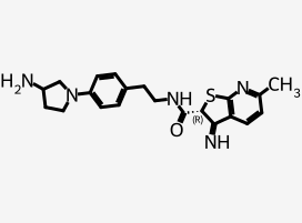 Cc1ccc2c(n1)S[C@@H](C(=O)NCCc1ccc(N3CCC(N)C3)cc1)C2=N